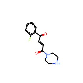 O=C(/C=C/C(=O)N1CCNCC1)c1ccccc1F